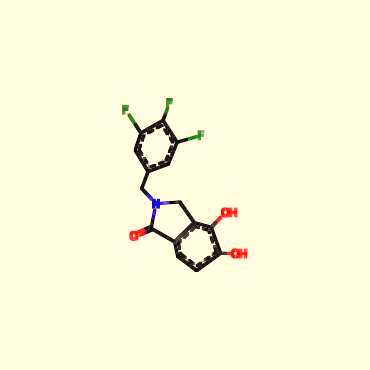 O=C1c2ccc(O)c(O)c2CN1Cc1cc(F)c(F)c(F)c1